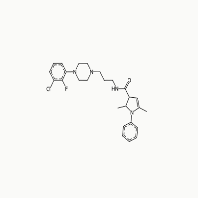 CC1=CC(C(=O)NCCCN2CCN(c3cccc(Cl)c3F)CC2)C(C)N1c1ccccc1